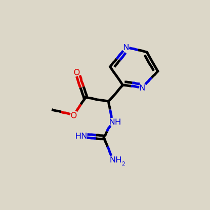 COC(=O)C(NC(=N)N)c1cnccn1